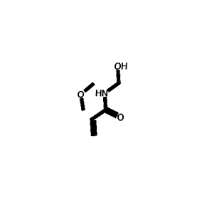 C=CC(=O)NCO.COC